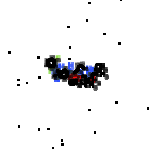 CNC(C)C(=O)NC(C(=O)N1CCCC1C(=O)Nc1cc2c(Nc3c(F)cccc3F)ncnc2cc1OC)C(C)(C)C